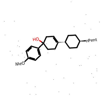 CCCCC[C@H]1CC[C@H](C2=CCC(O)(c3ccc(OC)cc3)CC2)CC1